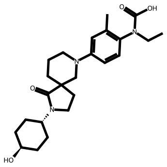 CCN(C(=O)O)c1ccc(N2CCCC3(CCN([C@H]4CC[C@H](O)CC4)C3=O)C2)cc1C